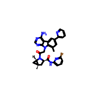 Cc1cc(-c2ccccn2)cc2c3c(N)ncnc3n(CC(=O)N3[C@H](C(=O)Nc4cccc(Br)n4)C[C@@]4(C)C[C@@H]34)c12